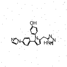 Oc1ccc(-n2c(Cc3nnn[nH]3)ccc2-c2ccc(-n3ccnc3)cc2)cc1